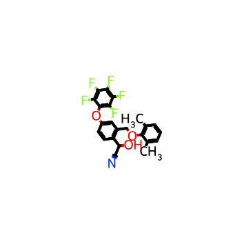 Cc1cccc(C)c1OCc1cc(Oc2c(F)c(F)c(F)c(F)c2F)ccc1C(O)C#N